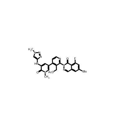 CC(=O)OCc1c(-c2cc(Nc3cn(C)nn3)c(=O)n(C)c2)ccnc1-n1ncc2cc(C(C)(C)C)cc(F)c2c1=O